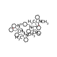 CN1/C(=C/C=C/C2=[N+](Cc3ccc(C[N+]4=C(/C=C/C=C5/N(C)c6ccccc6C5(C)Cc5ccccc5)C(C)(Cc5ccccc5)c5ccccc54)cc3)c3ccccc3C2(C)Cc2ccccc2)C(C)(Cc2ccccc2)c2ccccc21